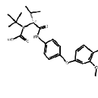 COc1cc(Oc2ccc(NC(=O)[C@@H](C(C)C)N(C(=O)O)C(C)(C)C)cc2)ccc1C